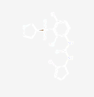 O=C(Nc1ccc(Cl)c(S(=O)(=O)[C@H]2CCOC2)c1O)N[C@@H]1CCC=C1Cl